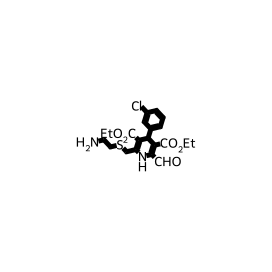 CCOC(=O)C1=C(C=O)NC(CSCCN)=C(C(=O)OCC)C1c1cccc(Cl)c1